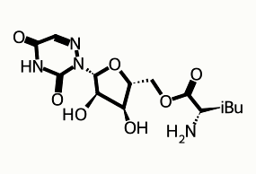 CC[C@H](C)[C@H](N)C(=O)OC[C@H]1O[C@@H](n2ncc(=O)[nH]c2=O)[C@H](O)[C@@H]1O